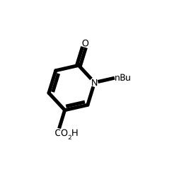 CCCCn1cc(C(=O)O)ccc1=O